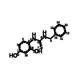 Oc1ccc(NC(=S)NCc2ccccc2)c(O)c1